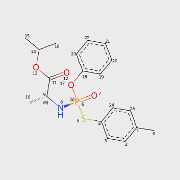 Cc1ccc(S[P@](=O)(N[C@H](C)C(=O)OC(C)C)Oc2ccccc2)cc1